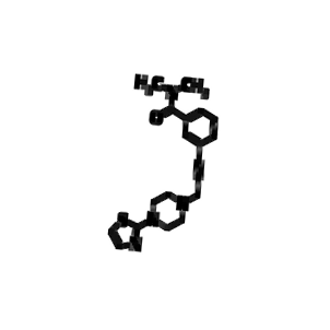 CN(C)C(=O)c1cccc(C#CCN2CCN(c3nccs3)CC2)c1